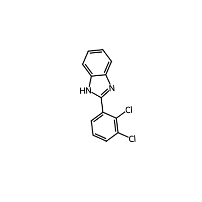 Clc1cccc(-c2nc3ccccc3[nH]2)c1Cl